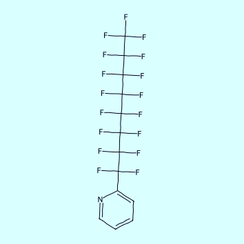 FC(F)(F)C(F)(F)C(F)(F)C(F)(F)C(F)(F)C(F)(F)C(F)(F)C(F)(F)c1ccccn1